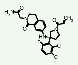 C=CC(=O)N1CC[C@](Nc2ccc3c(c2)C(=O)N(CC(N)=O)CC3)(c2c(F)ccc(Cl)c2Cl)C1